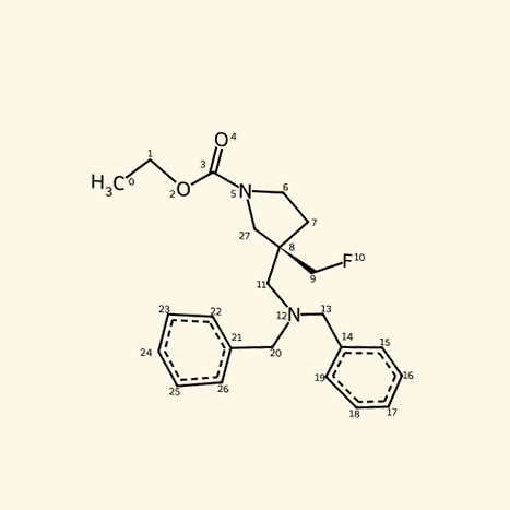 CCOC(=O)N1CC[C@](CF)(CN(Cc2ccccc2)Cc2ccccc2)C1